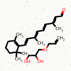 C=CCOCC(O)CO.CC1=C(/C=C/C(C)=C/C=C/C(C)=C/C=O)C(C)(C)CCC1